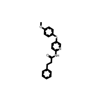 COc1ccc(Sc2ccc(NC(=O)CCc3ccccc3)nc2)cc1